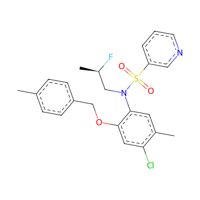 Cc1ccc(COc2cc(Cl)c(C)cc2N(C[C@@H](C)F)S(=O)(=O)c2cccnc2)cc1